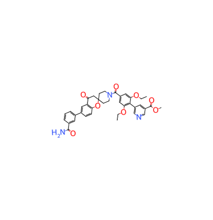 CCOc1cc(C(=O)N2CCC3(CC2)CC(=O)c2cc(-c4cccc(C(N)=O)c4)ccc2O3)cc(OCC)c1-c1cncc(C(=O)OC)c1